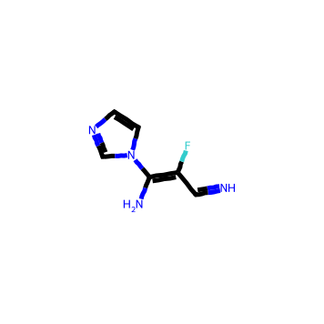 N=C/C(F)=C(\N)n1ccnc1